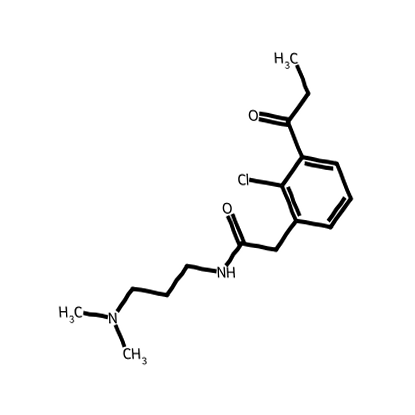 CCC(=O)c1cccc(CC(=O)NCCCN(C)C)c1Cl